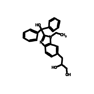 CCn1c(C(O)(c2ccccc2)c2ccccc2)nc2ccc(CC(O)CO)cc21